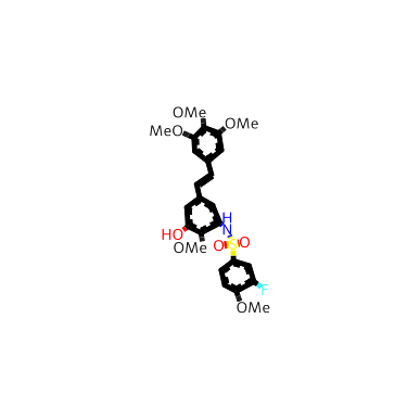 COc1ccc(S(=O)(=O)Nc2cc(C=Cc3cc(OC)c(OC)c(OC)c3)cc(O)c2OC)cc1F